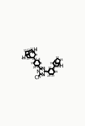 Clc1nc(-c2ccc(C34C[C@@H]5CC6C[C@@H](C3)[C@@]6(C5)C4)cc2)nc(-c2cccc(C34C[C@@H]5CCC(C5)(C3)C4)c2)n1